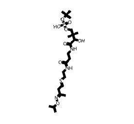 C/C(CCSCCNC(=O)CCNC(=O)C(O)C(C)(C)COP(=O)(O)OC(C)(C)C)=N\OC(C)C